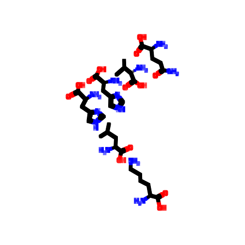 CC(C)C[C@H](N)C(=O)O.CC(C)[C@H](N)C(=O)O.NC(=O)CC[C@H](N)C(=O)O.NCCCC[C@H](N)C(=O)O.N[C@@H](Cc1c[nH]cn1)C(=O)O.N[C@@H](Cc1c[nH]cn1)C(=O)O